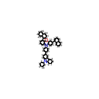 c1ccc(-n2c3ccccc3c3cc(-c4ccc(N(c5ccc(-c6cccc7ccccc67)cc5)c5cccc6c5oc5ccc7ccccc7c56)cc4)ccc32)cc1